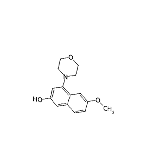 COc1ccc2cc(O)cc(N3CCOCC3)c2c1